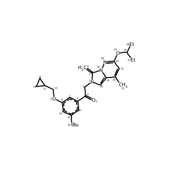 C=C1N(CC(=O)c2cc(OCC3CC3)cc(C(C)(C)C)c2)C=C2C(C)=CC(OC(CC)CC)=NN12